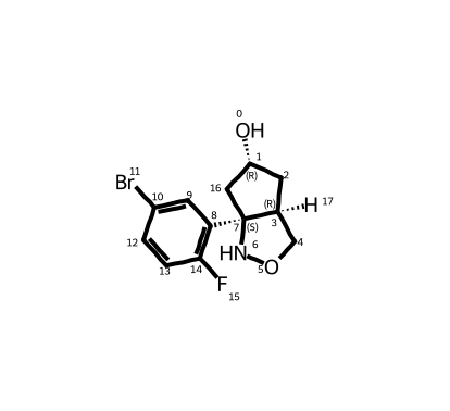 O[C@@H]1C[C@H]2CON[C@@]2(c2cc(Br)ccc2F)C1